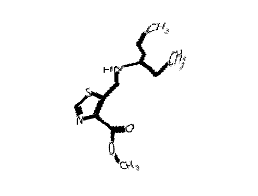 CCC(CC)NCc1scnc1C(=O)OC